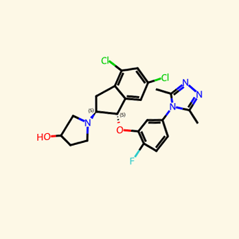 Cc1nnc(C)n1-c1ccc(F)c(O[C@H]2c3cc(Cl)cc(Cl)c3C[C@@H]2N2CCC(O)C2)c1